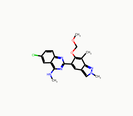 CNc1nc(-c2cc3cn(C)nc3c(C)c2OCOC)nc2ccc(Cl)cc12